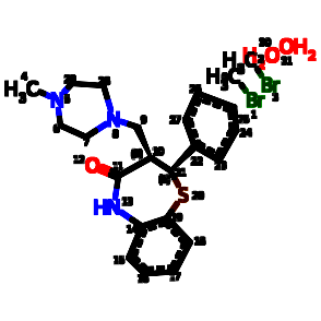 CBr.CBr.CN1CCN(C[C@@H]2C(=O)Nc3ccccc3S[C@@H]2c2ccccc2)CC1.O.O